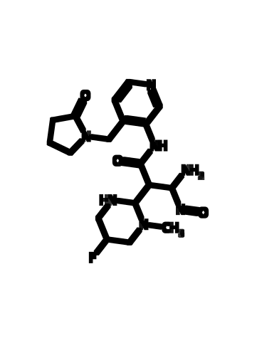 CN1CC(F)CNC1C(C(=O)Nc1cnccc1CN1CCCC1=O)C(N)N=O